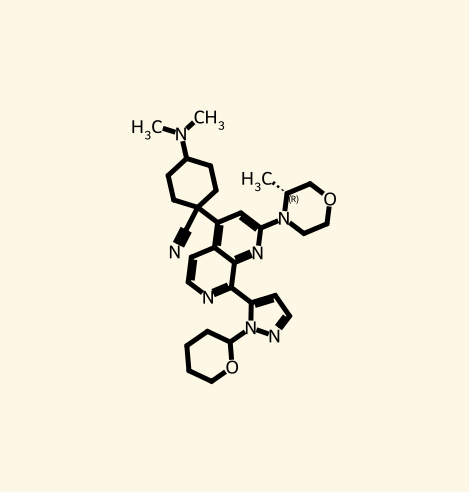 C[C@@H]1COCCN1c1cc(C2(C#N)CCC(N(C)C)CC2)c2ccnc(-c3ccnn3C3CCCCO3)c2n1